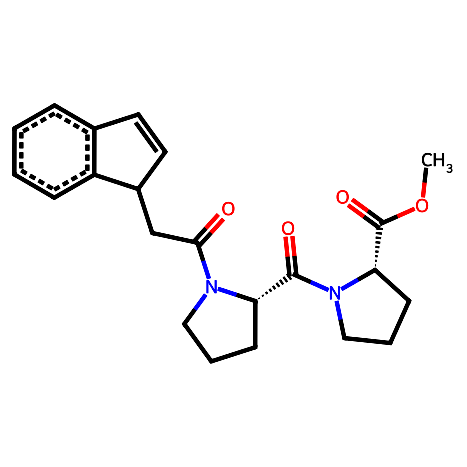 COC(=O)[C@@H]1CCCN1C(=O)[C@@H]1CCCN1C(=O)CC1C=Cc2ccccc21